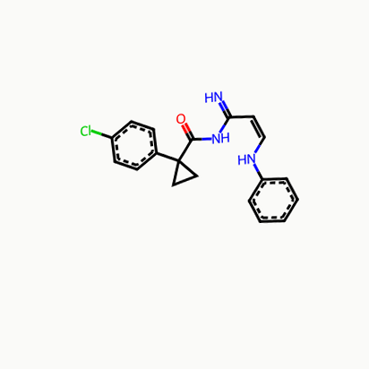 N=C(/C=C\Nc1ccccc1)NC(=O)C1(c2ccc(Cl)cc2)CC1